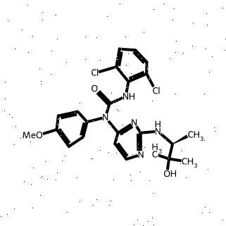 COc1ccc(N(C(=O)Nc2c(Cl)cccc2Cl)c2ccnc(N[C@@H](C)C(C)(C)O)n2)cc1